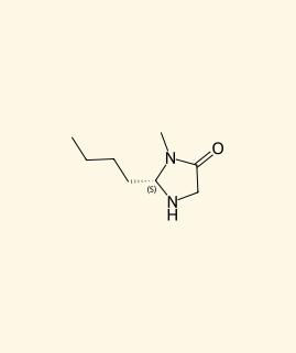 CCCC[C@H]1NCC(=O)N1C